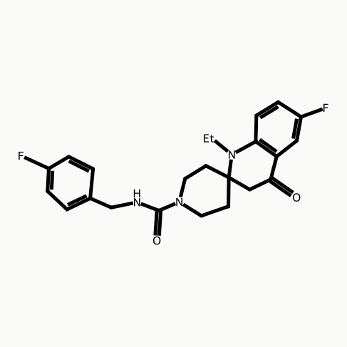 CCN1c2ccc(F)cc2C(=O)CC12CCN(C(=O)NCc1ccc(F)cc1)CC2